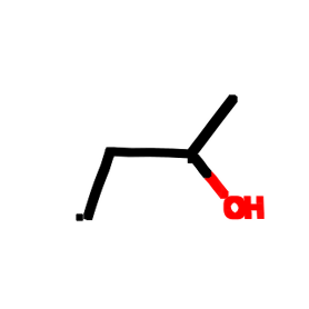 [CH2]C[C](C)O